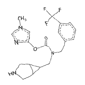 Cn1cnc(OC(=O)N(Cc2cccc(C(F)(F)F)c2)CC2C3CNCC32)c1